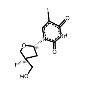 O=c1[nH]c(=O)n([C@@H]2C[C@@](F)(CO)CO2)cc1I